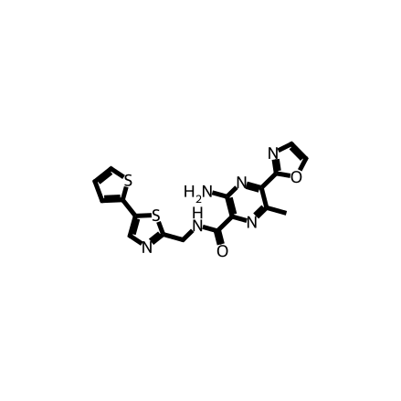 Cc1nc(C(=O)NCc2ncc(-c3cccs3)s2)c(N)nc1-c1ncco1